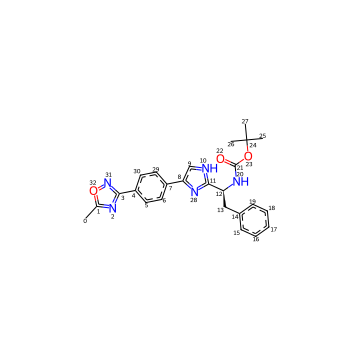 Cc1nc(-c2ccc(-c3c[nH]c([C@H](Cc4ccccc4)NC(=O)OC(C)(C)C)n3)cc2)no1